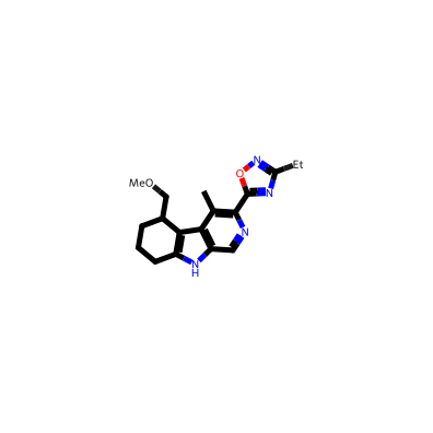 CCc1noc(-c2ncc3[nH]c4c(c3c2C)C(COC)CCC4)n1